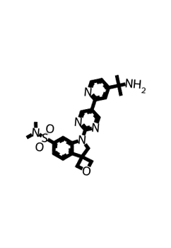 CN(C)S(=O)(=O)c1ccc2c(c1)N(c1ncc(-c3cc(C(C)(C)N)ccn3)cn1)CC21COC1